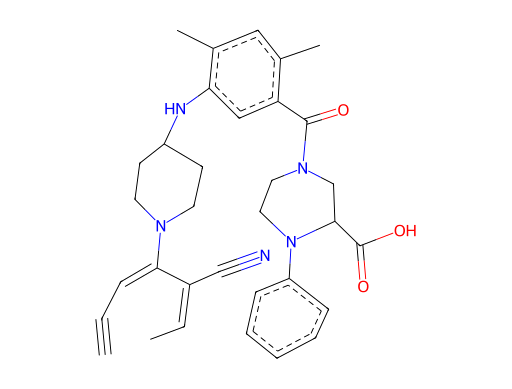 C#C/C=C(\C(C#N)=C/C)N1CCC(Nc2cc(C(=O)N3CCN(c4ccccc4)C(C(=O)O)C3)c(C)cc2C)CC1